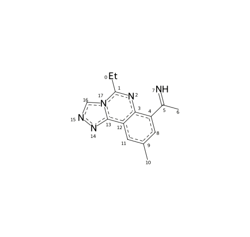 CCc1nc2c(C(C)=N)cc(C)cc2c2nncn12